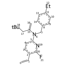 C=Cc1ccc(N(Cc2ccc(CC)cc2)C(=C)CC(C)(C)C)nc1F